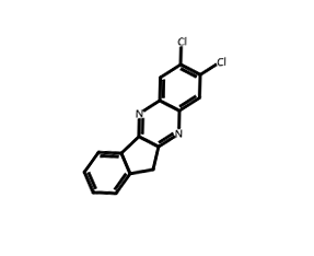 Clc1cc2nc3c(nc2cc1Cl)-c1ccccc1C3